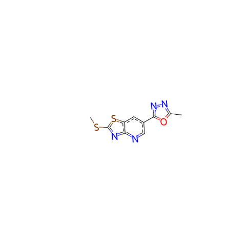 CSc1nc2ncc(-c3nnc(C)o3)cc2s1